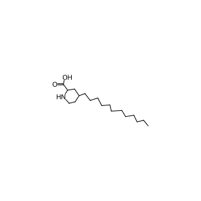 CCCCCCCCCCCCC1CCNC(C(=O)O)C1